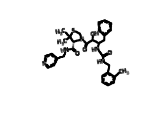 Cc1ccccc1CNC(=O)NC(Cc1ccccc1)C(O)C(=O)N1CSC(C)(C)[C@H]1C(=O)NCc1ccncc1